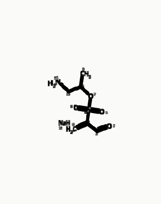 C=C(C=O)S(=O)(=O)OC(C)CN.[NaH]